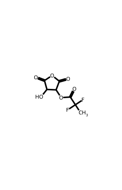 CC(F)(F)C(=O)OC1C(=O)OC(=O)C1O